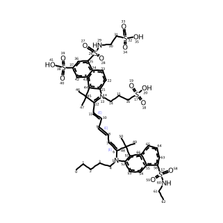 CCCCCN1/C(=C/C=C/C=C/C2=[N+](CCCS(=O)(=O)O)c3ccc4c(S(=O)(=O)NCCS(=O)(=O)O)cc(S(=O)(=O)O)cc4c3C2(C)C)C(C)(C)c2c1ccc1c(S(=O)(=O)NCC)cccc21